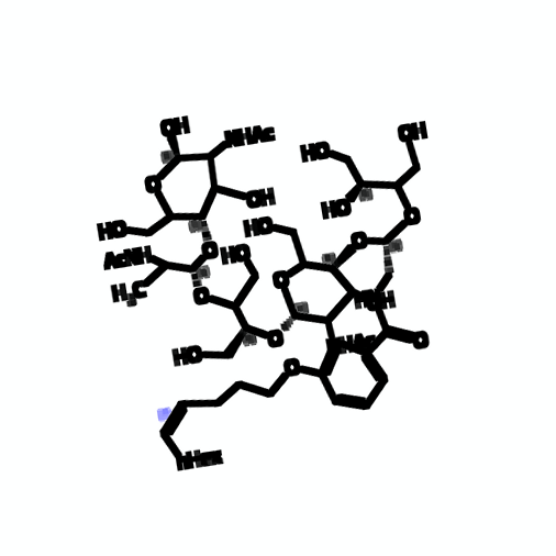 CCCCCC/C=C\CCCOc1cccc(C(=O)NC[C@@H](OC(CO)[C@@H](O)CO)O[C@@H]2C(CO)O[C@@H](O[C@@H](CO)C(CO)O[C@@H](O[C@@H]3C(CO)O[C@@H](O)C(NC(C)=O)C3O)C(C)NC(C)=O)C(NC(C)=O)C2O)c1